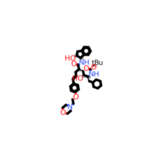 CC(C)(C)OC(=O)N[C@@H](CC1CCCCC1)[C@@H](O)C[C@@H](CC=Cc1ccc(OCCN2CCOCC2)cc1)C(=O)N[C@H]1c2ccccc2C[C@H]1O